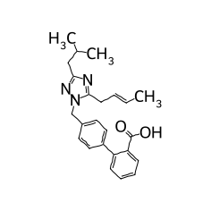 CC=CCc1nc(CC(C)C)nn1Cc1ccc(-c2ccccc2C(=O)O)cc1